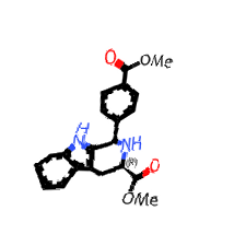 COC(=O)c1ccc(C2N[C@@H](C(=O)OC)Cc3c2[nH]c2ccccc32)cc1